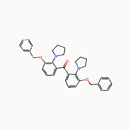 O=C(c1cccc(OCc2ccccc2)c1N1CCCC1)c1cccc(OCc2ccccc2)c1N1CCCC1